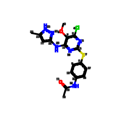 COc1c(Cl)nc(Sc2ccc(NC(C)=O)cc2)nc1Nc1cc(C)[nH]n1